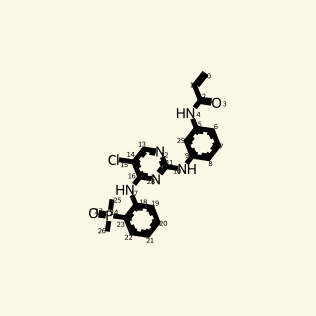 C=CC(=O)Nc1cccc(Nc2ncc(Cl)c(Nc3ccccc3P(C)(C)=O)n2)c1